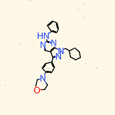 c1ccc(Nc2ncc3c(-c4ccc(N5CCOCC5)cc4)nn(CC4CCCCC4)c3n2)cc1